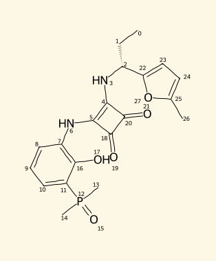 CC[C@@H](Nc1c(Nc2cccc(P(C)(C)=O)c2O)c(=O)c1=O)c1ccc(C)o1